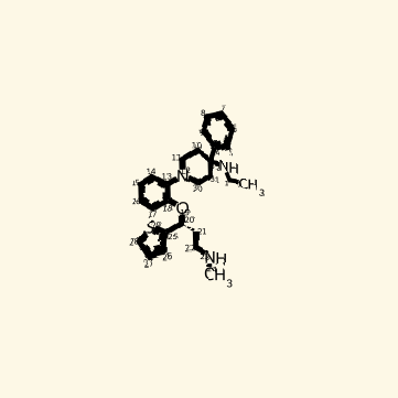 CCNC1(c2ccccc2)CCN(c2ccccc2O[C@H](CCNC)c2cccs2)CC1